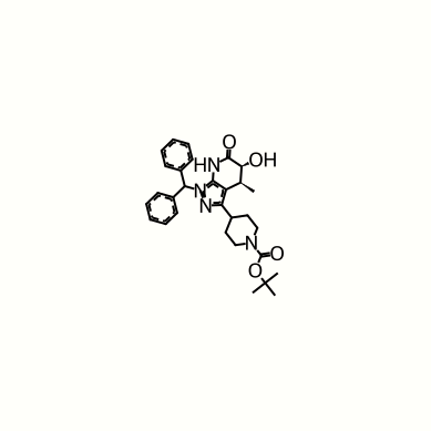 C[C@H]1c2c(C3CCN(C(=O)OC(C)(C)C)CC3)nn(C(c3ccccc3)c3ccccc3)c2NC(=O)[C@H]1O